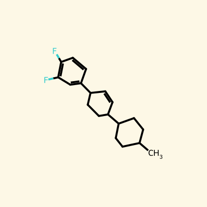 CC1CCC(C2C=CC(c3ccc(F)c(F)c3)CC2)CC1